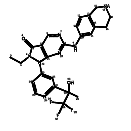 CCn1c(=O)c2cnc(Nc3ccc4c(c3)CCNC4)nc2n1-c1ccnc(C(C)(O)C(F)(F)F)c1